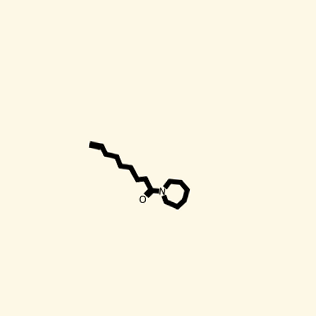 C=CCCCCCCC(=O)N1CCCCCC1